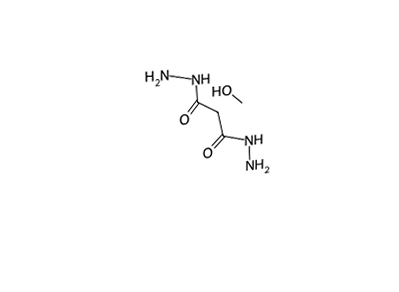 CO.NNC(=O)CC(=O)NN